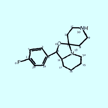 Fc1ccc(C2OC3(CCNCC3)N3CCCCC23)cc1